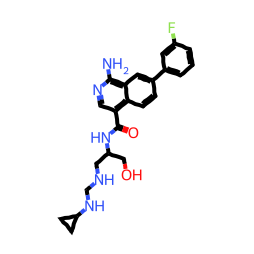 Nc1ncc(C(=O)NC(CO)CNCNC2CC2)c2ccc(-c3cccc(F)c3)cc12